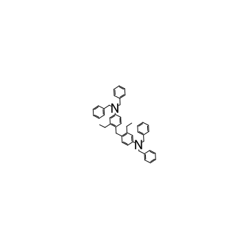 CCc1cc(N(Cc2ccccc2)Cc2ccccc2)ccc1Cc1ccc(N(Cc2ccccc2)Cc2ccccc2)cc1CC